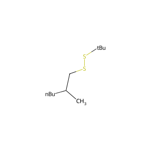 CCCCC(C)CSSC(C)(C)C